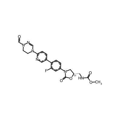 COC(=O)NC[C@H]1CN(c2ccc(-c3ccc(N4C=NN(C=O)CC4)nc3)c(F)c2)C(=O)O1